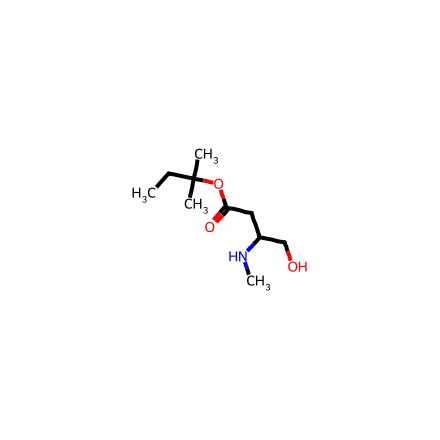 CCC(C)(C)OC(=O)CC(CO)NC